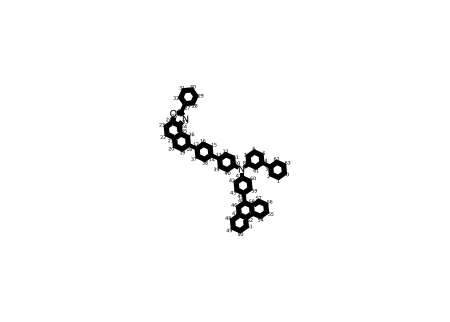 c1ccc(-c2cccc(N(c3ccc(-c4ccc(-c5ccc6ccc7oc(-c8ccccc8)nc7c6c5)cc4)cc3)c3ccc(-c4cc5ccccc5c5ccccc45)cc3)c2)cc1